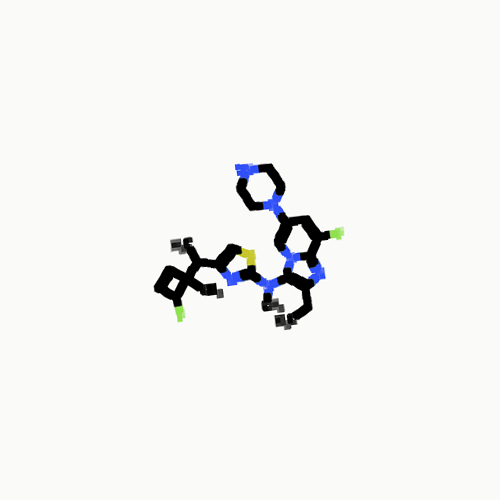 CCc1nc2c(F)cc(N3CCNCC3)cn2c1N(C)c1nc(C(C)C2(C)C=CC2F)cs1